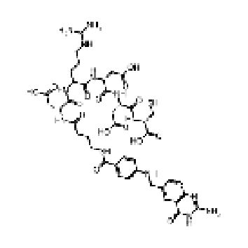 Nc1nc2ncc(CNc3ccc(C(=O)NCCCC(=O)N[C@H](CC(=O)O)C(=O)N[C@@H](CCCNC(N)N)C(=O)N[C@@H](CC(=O)O)C(=O)N[C@@H](CC(=O)O)C(=O)N[C@@H](CS)C(=O)O)cc3)nc2c(=O)[nH]1